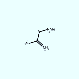 C=C(CCC)CNC